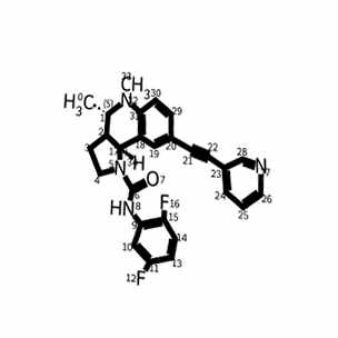 C[C@H]1C2CCN(C(=O)Nc3cc(F)ccc3F)[C@H]2c2cc(C#Cc3cccnc3)ccc2N1C